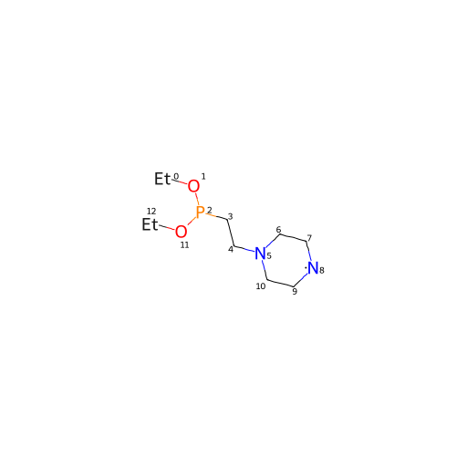 CCOP(CCN1CC[N]CC1)OCC